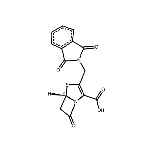 O=C(O)C1=C(CN2C(=O)c3ccccc3C2=O)S[C@H]2CC(=O)N12